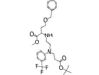 COC(=O)C(CCOCc1ccccc1)NCCN(CCC(=O)OC(C)(C)C)c1cccc(C(F)(F)F)c1